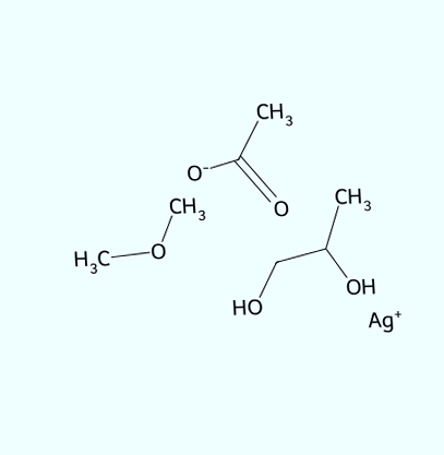 CC(=O)[O-].CC(O)CO.COC.[Ag+]